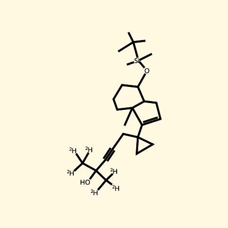 [2H]C([2H])([2H])C(O)(C#CCC1(C2=CCC3C(O[Si](C)(C)C(C)(C)C)CCCC23C)CC1)C([2H])([2H])[2H]